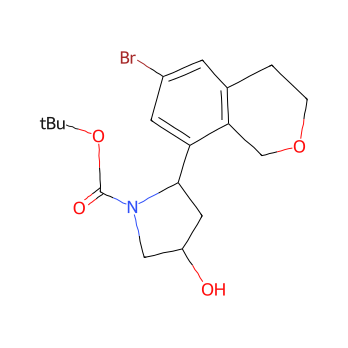 CC(C)(C)OC(=O)N1CC(O)CC1c1cc(Br)cc2c1COCC2